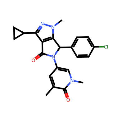 Cc1cc(N2C(=O)c3c(C4CC4)nn(C)c3C2c2ccc(Cl)cc2)cn(C)c1=O